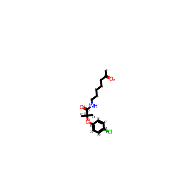 CC(=O)CCCCCNC(=O)C(C)(C)Oc1ccc(Cl)cc1